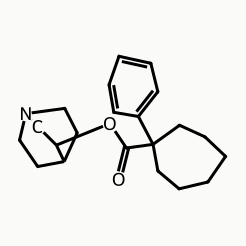 O=C(OC1CN2CCC1CC2)C1(c2ccccc2)CCCCCC1